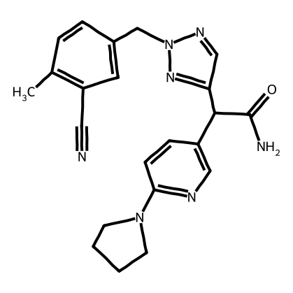 Cc1ccc(Cn2ncc(C(C(N)=O)c3ccc(N4CCCC4)nc3)n2)cc1C#N